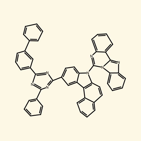 c1ccc(-c2cccc(-c3nc(-c4ccccc4)nc(-c4ccc5c(c4)c4c6ccccc6ccc4n5-c4nc5ccccc5c5nc6ccccc6n45)n3)c2)cc1